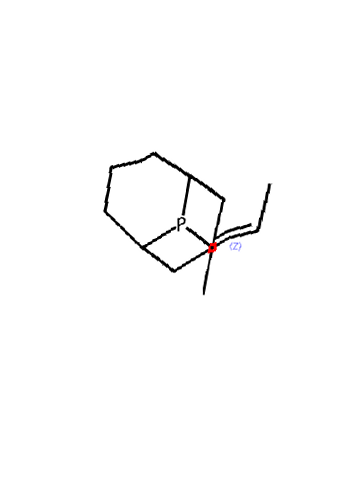 C/C=C(/C)P1C2CCCC1CCC2